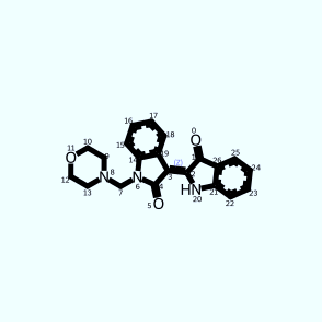 O=C1/C(=C2/C(=O)N(CN3CCOCC3)c3ccccc32)Nc2ccccc21